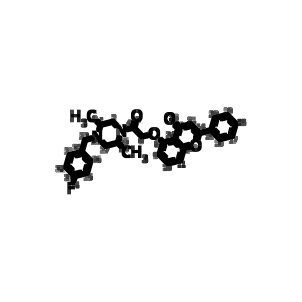 CC1CN(C(=O)COc2cccc3oc(-c4ccccc4)cc(=O)c23)C(C)CN1Cc1ccc(F)cc1